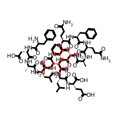 CC(C)C[C@H](NC(=O)[C@H](C)NC(=O)[C@H](CC(=O)O)NC(=O)[C@@H](N)Cc1ccccc1)C(=O)N[C@@H](CCCCN)C(=O)N[C@@H](CCC(N)=O)C(=O)N[C@@H](CCC(N)=O)C(=O)N[C@@H](Cc1ccccc1)C(=O)N[C@@H](CCC(N)=O)C(=O)N[C@@H](C)C(=O)N[C@@H](Cc1ccccc1)C(=O)N[C@@H](CCC(N)=O)C(=O)N[C@@H](CC(C)C)C(=O)N[C@@H](CCC(=O)O)C(=O)O